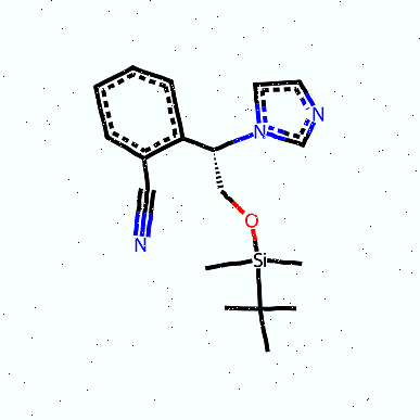 CC(C)(C)[Si](C)(C)OC[C@H](c1ccccc1C#N)n1ccnc1